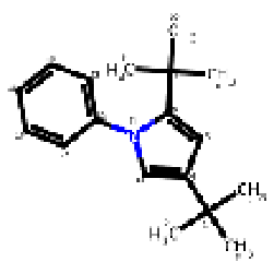 CC(C)(C)c1cc(C(C)(C)C)n(-c2ccccc2)c1